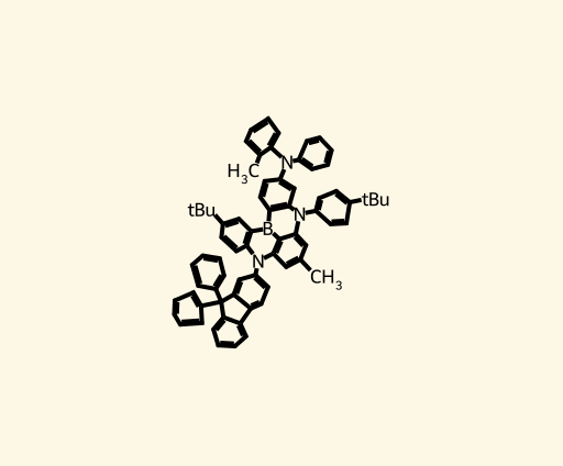 Cc1cc2c3c(c1)N(c1ccc(C(C)(C)C)cc1)c1cc(N(c4ccccc4)c4ccccc4C)ccc1B3c1cc(C(C)(C)C)ccc1N2c1ccc2c(c1)C(c1ccccc1)(c1ccccc1)c1ccccc1-2